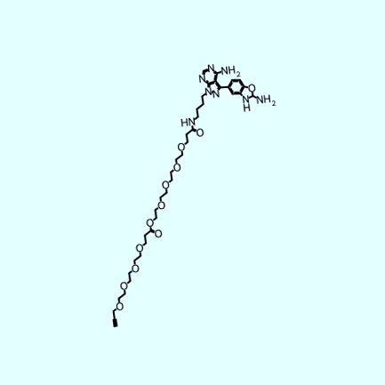 C#CCOCCOCCOCCOCCC(=O)OCCOCCOCCOCCOCCC(=O)NCCCCn1nc(-c2ccc3c(c2)NC(N)O3)c2c(N)ncnc21